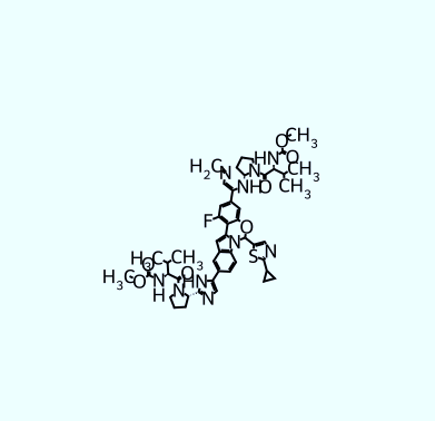 C=N/C=C(\N[C@@H]1CCCN1C(=O)[C@@H](NC(=O)OC)C(C)C)c1cc(F)c2c(c1)OC(c1cnc(C3CC3)s1)n1c-2cc2cc(-c3cnc([C@@H]4CCCN4C(=O)[C@@H](NC(=O)OC)C(C)C)[nH]3)ccc21